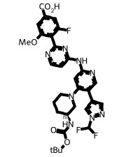 COc1cc(C(=O)O)cc(F)c1-c1nccc(Nc2cc(N3CCC[C@H](NC(=O)OC(C)(C)C)C3)c(-c3cnn(C(F)F)c3)cn2)n1